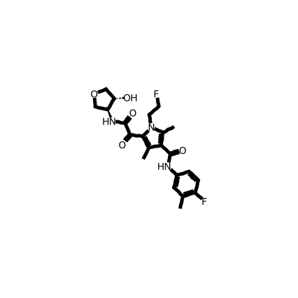 Cc1cc(NC(=O)c2c(C)c(C(=O)C(=O)N[C@H]3COC[C@@H]3O)n(CCF)c2C)ccc1F